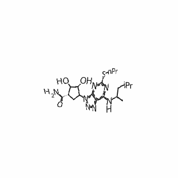 CCCSc1nc(NC(C)CC(C)C)c2nnn(C3C[C@H](C(N)=O)C(O)C3O)c2n1